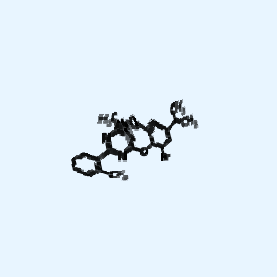 C=C(C)c1cc(Br)c(Oc2nc(C)nc(-c3ccccc3C(F)(F)F)n2)c(OC)c1